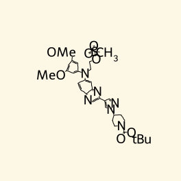 COc1cc(OC)cc(N(CCOS(C)(=O)=O)c2ccc3ncc(-c4cnn(C5CCN(C(=O)OC(C)(C)C)CC5)c4)nc3c2)c1